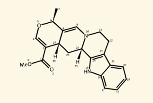 COC(=O)C1=CO[C@@H](C)C2=CN3CCc4c([nH]c5ccccc45)[C@@H]3C[C@H]12